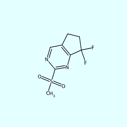 CS(=O)(=O)c1ncc2c(n1)C(F)(F)CC2